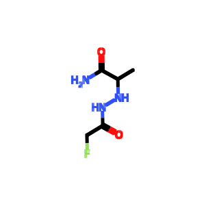 CC(NNC(=O)CF)C(N)=O